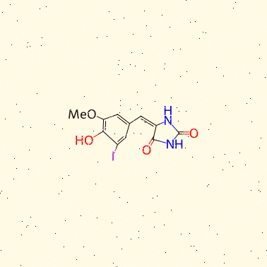 COc1cc(/C=C2/NC(=O)NC2=O)cc(I)c1O